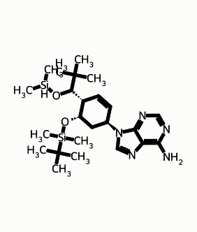 C[SiH](C)OC([C@@H]1C=C[C@@H](n2cnc3c(N)ncnc32)C[C@@H]1O[Si](C)(C)C(C)(C)C)C(C)(C)C